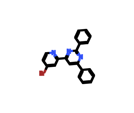 Brc1ccnc(-c2cc(-c3ccccc3)nc(-c3ccccc3)n2)c1